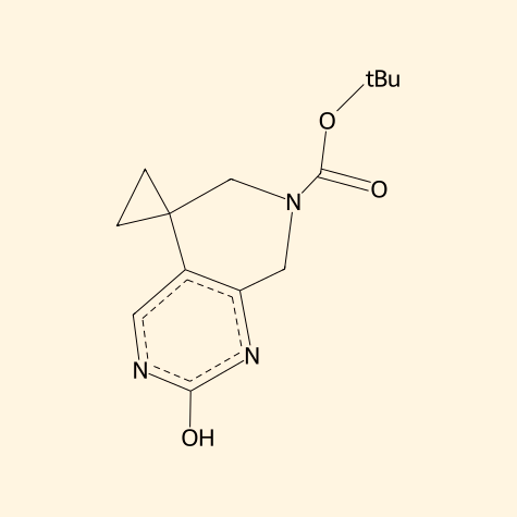 CC(C)(C)OC(=O)N1Cc2nc(O)ncc2C2(CC2)C1